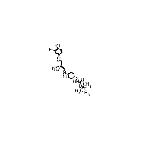 CC(C)(C)OC(=O)NC[C@H]1CC[C@H](NCC(O)COc2ccc(Cl)c(F)c2)CC1